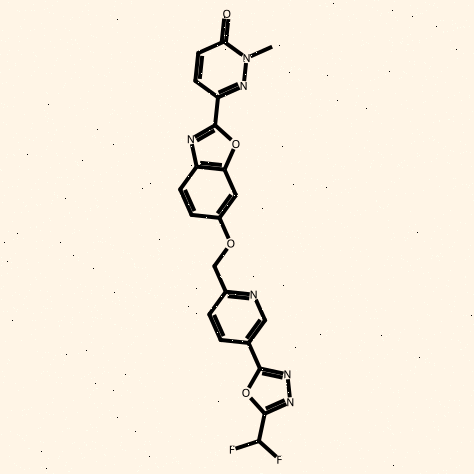 Cn1nc(-c2nc3ccc(OCc4ccc(-c5nnc(C(F)F)o5)cn4)cc3o2)ccc1=O